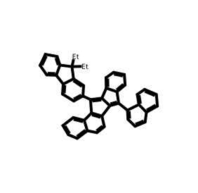 CCC1(CC)c2ccccc2-c2ccc(C3=C4C(=C(c5cccc6ccccc56)c5ccccc54)c4ccc5ccccc5c43)cc21